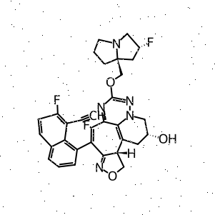 C#Cc1c(F)ccc2cccc(C3=C(F)C4=NC(OC[C@@]56CCCN5C[C@H](F)C6)=NN5C[C@H](O)CC(=C45)[C@@H]4CON=C34)c12